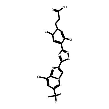 O=C(O)CCC1C=C(Cl)C(c2noc(-c3cn4cc(C(F)(F)F)cc(Cl)c4n3)n2)=CC1Cl